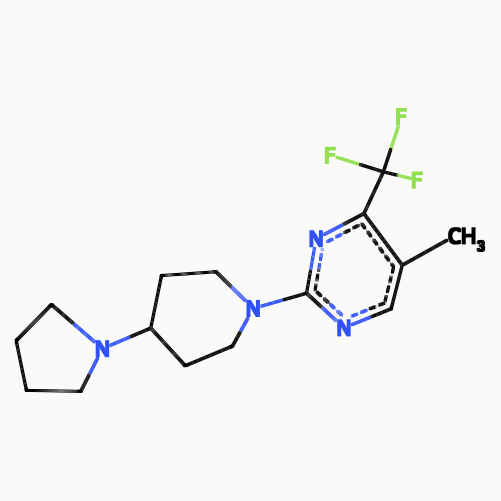 Cc1cnc(N2CCC(N3CCCC3)CC2)nc1C(F)(F)F